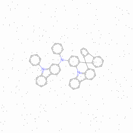 c1ccc(N(c2ccc3c(c2)-n2c4ccccc4c4cccc(c42)C32c3ccccc3-c3ccccc32)c2ccc3c4ccccc4n(-c4ccccc4)c3c2)cc1